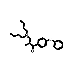 CCCCN(CCCC)CC(C)C(=O)c1ccc(Oc2ccccc2)cc1